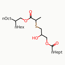 CCCCCCCCC(CCCCCC)COC(=O)C(C)SCC(O)COC(=O)CCCCCCC